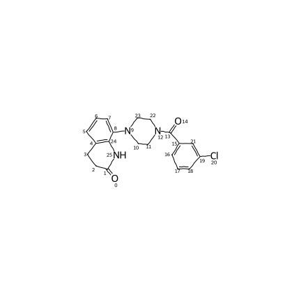 O=C1CCc2cccc(N3CCN(C(=O)c4cccc(Cl)c4)CC3)c2N1